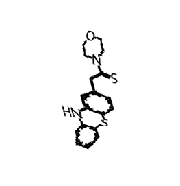 S=C(Cc1ccc2c(c1)Nc1ccccc1S2)N1CCOCC1